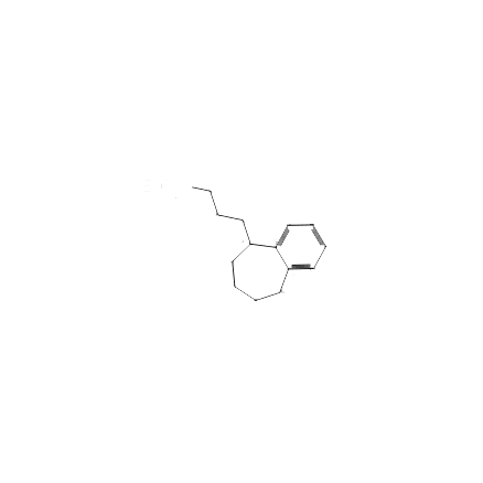 CCOC(=O)CCCC1CCCCc2ccccc21